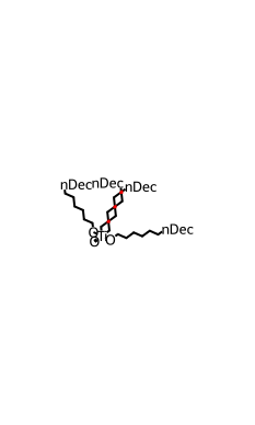 CCCCCCCCCCCCCCCC[O][Ti](=[O])([CH2]CCCCCCCCCCCCCCC)([CH2]CCCCCCCCCCCCCCC)[O]CCCCCCCCCCCCCCCC